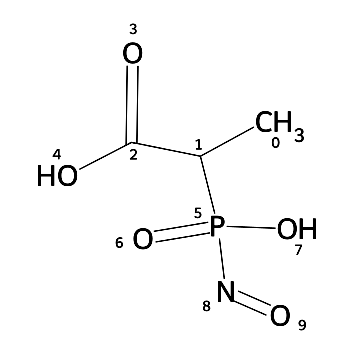 CC(C(=O)O)P(=O)(O)N=O